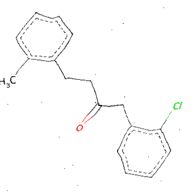 Cc1ccccc1CCC(=O)Cc1ccccc1Cl